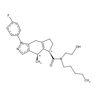 CCCCCN(CCO)C(=O)[C@@H]1CCC2=C1[C@@H](C)c1cnn(-c3ccc(F)cc3)c1C2